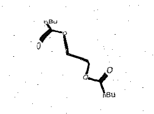 CCCCC(=O)OCCOC(=O)CCCC